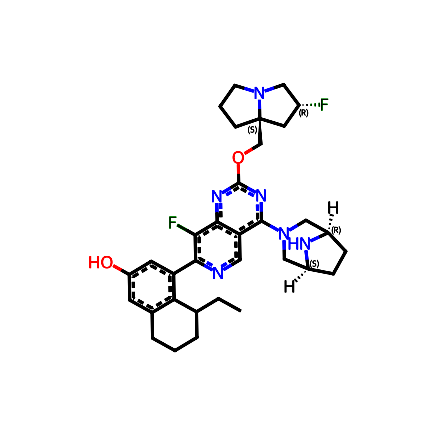 CCC1CCCc2cc(O)cc(-c3ncc4c(N5C[C@H]6CC[C@@H](C5)N6)nc(OC[C@@]56CCCN5C[C@H](F)C6)nc4c3F)c21